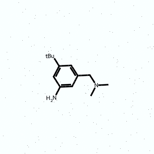 CN(C)Cc1cc(N)cc(C(C)(C)C)c1